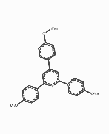 CCCCCOc1ccc(-c2cc(-c3ccc(OC)cc3)[s+]c(-c3ccc(OC)cc3)c2)cc1